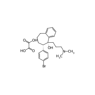 CN(C)CCC[C@]1(O)c2ccccc2CCC[C@H]1c1ccc(Br)cc1.O=C(O)C(=O)O